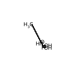 CCCCCCCCCCCCCCCCCCCCCC(=O)NCCc1cc(O)c(O)cc1I